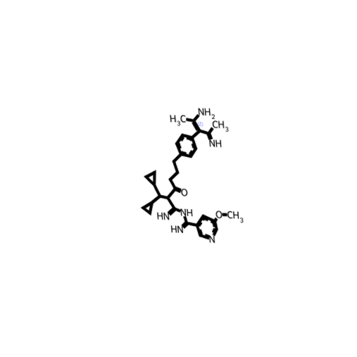 COc1cncc(C(=N)NC(=N)C(C(=O)CCCc2ccc(/C(C(C)=N)=C(\C)N)cc2)C(C2CC2)C2CC2)c1